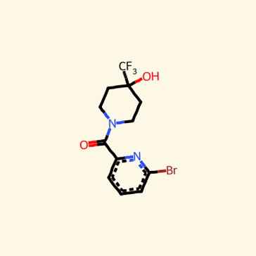 O=C(c1cccc(Br)n1)N1CCC(O)(C(F)(F)F)CC1